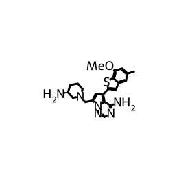 COc1cc(C)cc2cc(-c3cc(CN4CCC[C@H](N)C4)n4ncnc(N)c34)sc12